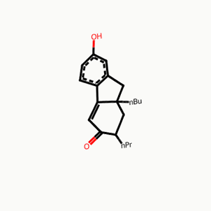 CCCCC12Cc3cc(O)ccc3C1=CC(=O)C(CCC)C2